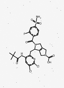 CC(C)(C)C(=O)Nc1cc(Cl)c(Cl)nc1[CH]C1C2=C(CN(C(=O)O)C2)CN1C(=O)c1ccc(S(N)(=O)=O)cc1F